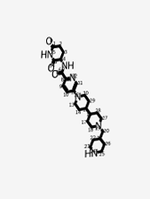 O=C1CCC(NC(=O)c2ccc(N3CCC(C4CCN(CC5CCNCC5)CC4)CC3)cn2)C(=O)N1